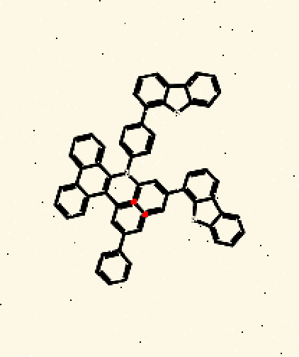 c1ccc(-c2cccc(-c3c(N(c4ccc(-c5cccc6c5sc5ccccc56)cc4)c4cccc(-c5cccc6c5sc5ccccc56)c4)c4ccccc4c4ccccc34)c2)cc1